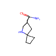 NC(=O)C1CNC2(CCC2)C1